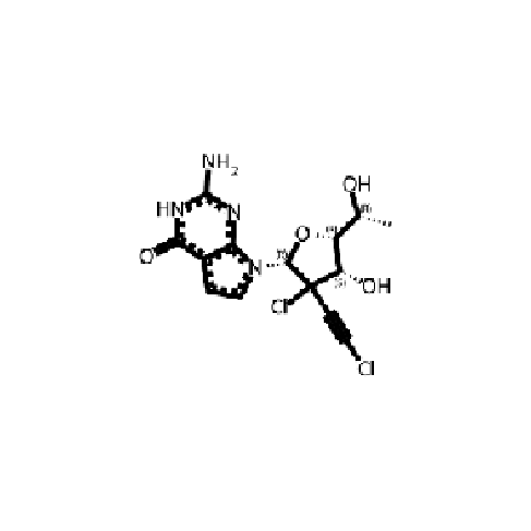 C[C@@H](O)[C@H]1O[C@@H](n2ccc3c(=O)[nH]c(N)nc32)C(Cl)(C#CCl)[C@H]1O